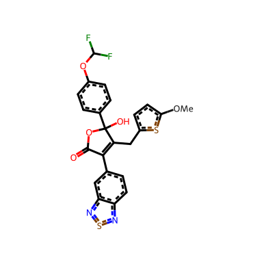 COc1ccc(CC2=C(c3ccc4nsnc4c3)C(=O)OC2(O)c2ccc(OC(F)F)cc2)s1